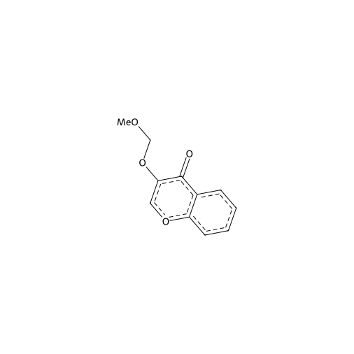 COCOc1coc2ccccc2c1=O